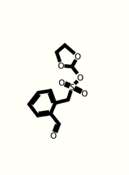 O=Cc1ccccc1CS(=O)(=O)OC1OCCO1